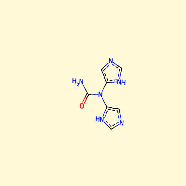 NC(=O)N(c1cnc[nH]1)c1cnc[nH]1